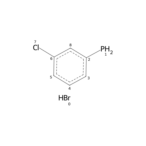 Br.Pc1cccc(Cl)c1